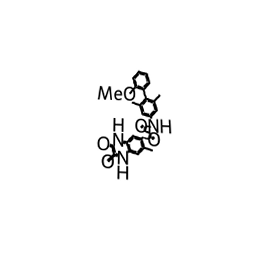 COc1ccccc1-c1c(C)cc(NS(=O)(=O)c2cc3[nH]c(=O)c(=O)[nH]c3cc2C)cc1C